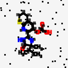 CC(C)C1(C)N=C(c2nc3c(cc2OC(=O)O)CCCS3)NC1=O